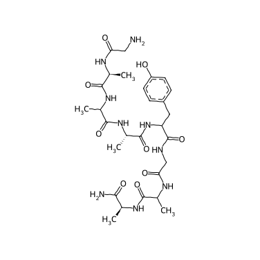 CC(NC(=O)CNC(=O)C(Cc1ccc(O)cc1)NC(=O)[C@H](C)NC(=O)C(C)NC(=O)[C@H](C)NC(=O)CN)C(=O)N[C@@H](C)C(N)=O